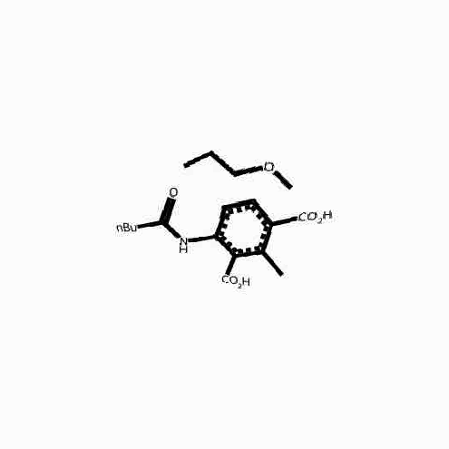 CCCCC(=O)Nc1ccc(C(=O)O)c(C)c1C(=O)O.CCCOC